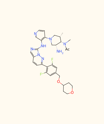 CC(=O)N(C)[C@@H]1[C@H](N)CN(c2ccncc2Nc2ncc3ccc(-c4c(F)cc(COC5CCOCC5)cc4F)nn23)C[C@@H]1C